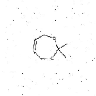 CC1(C)OCC=CCO1